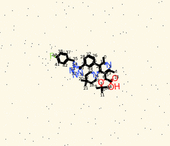 Cc1nc(C)c([C@H](OC(C)(C)C)C(=O)O)c(N2CCC(C)(C)CC2)c1-c1cccc(-c2nnnn2Cc2ccc(F)cc2)c1